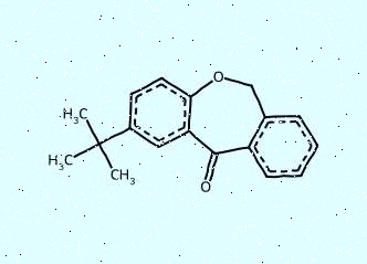 CC(C)(C)c1ccc2c(c1)C(=O)c1ccccc1CO2